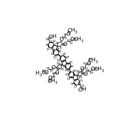 COCCOCCC1(CCOCCOC)c2cc(CO)ccc2-c2ccc(-c3ccc4c(c3)C(CCOCCOC)(CCOCCOC)c3cc(-c5ccc6c(c5)C(CCOCCOC)(CCOCCOC)c5cc(CO)ccc5-6)ccc3-4)cc21